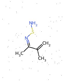 C=C(C)/C(C)=N\SN